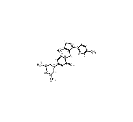 Cc1ccc(-c2noc(C)c2Cn2ncc(N3CC(C)OC(C)C3)cc2=O)cn1